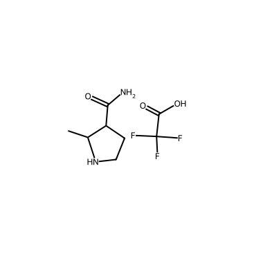 CC1NCCC1C(N)=O.O=C(O)C(F)(F)F